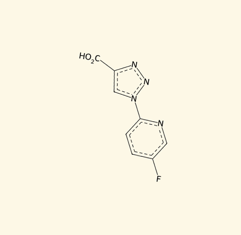 O=C(O)c1cn(-c2ccc(F)cn2)nn1